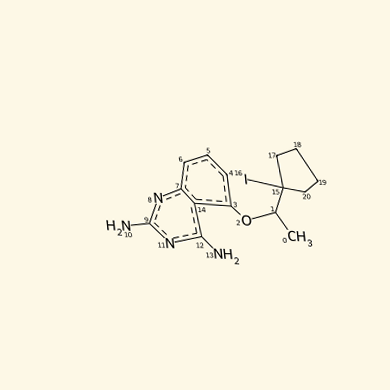 CC(Oc1cccc2nc(N)nc(N)c12)C1(I)CCCC1